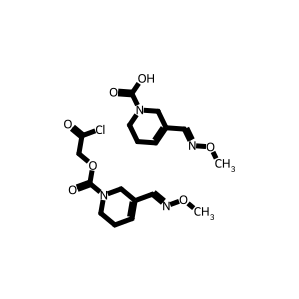 CON=CC1=CCCN(C(=O)O)C1.CON=CC1=CCCN(C(=O)OCC(=O)Cl)C1